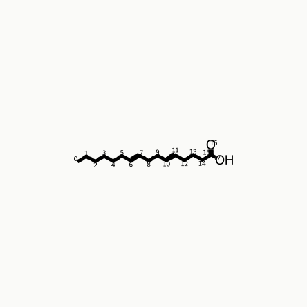 CCCCCCC=CCCC=CCCCC(=O)O